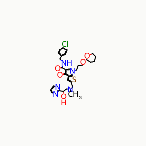 CN(Cc1cc2c(=O)c(C(=O)NCc3ccc(Cl)cc3)cn(CCCOC3CCCCO3)c2s1)CC(O)c1ncccn1